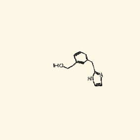 OCc1cccc(Cc2ncc[nH]2)c1